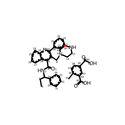 CCC(NC(=O)c1c(CN2CCNCC2)c(-c2ccccc2)nc2ccccc12)c1ccccc1.Cc1ccc(C(=O)O)cc1C(=O)O